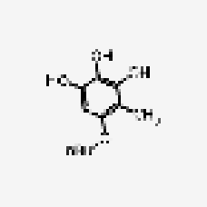 CCCCOc1cc(O)c(O)c(O)c1C